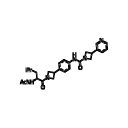 CC(=O)N[C@@H](CC(C)C)C(=O)N1CC(c2ccc(NC(=O)N3CC(c4cccnc4)C3)cc2)C1